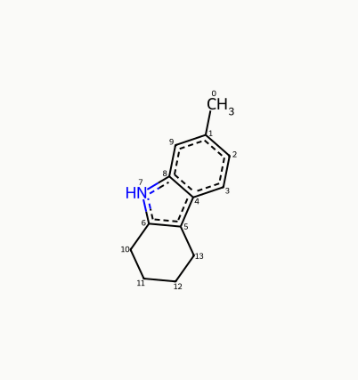 Cc1ccc2c3c([nH]c2c1)CCCC3